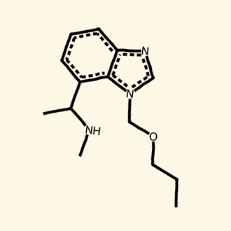 CCCOCn1cnc2cccc(C(C)NC)c21